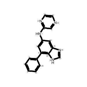 c1ccc(-c2cc(Nc3cnccn3)cc3nc[nH]c23)cc1